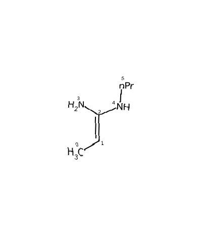 CC=C(N)NCCC